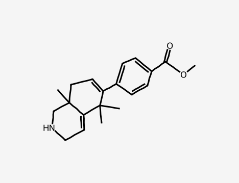 COC(=O)c1ccc(C2=CCC3(C)CNCC=C3C2(C)C)cc1